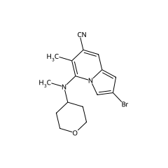 Cc1c(C#N)cc2cc(Br)cn2c1N(C)C1CCOCC1